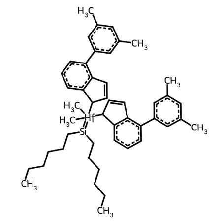 CCCCCC[Si](CCCCCC)=[Hf]([CH3])([CH3])([CH]1C=Cc2c(-c3cc(C)cc(C)c3)cccc21)[CH]1C=Cc2c(-c3cc(C)cc(C)c3)cccc21